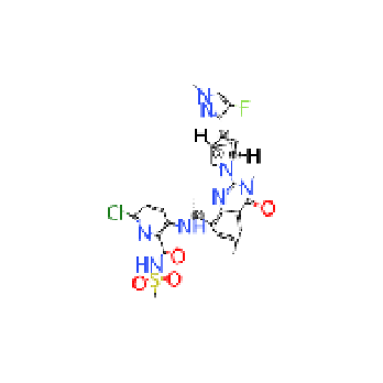 Cc1cc([C@@H](C)Nc2ccc(Cl)nc2C(=O)NS(C)(=O)=O)c2nc(N3C[C@H]4C[C@@H]3C[C@H]4c3nn(C)cc3F)n(C)c(=O)c2c1